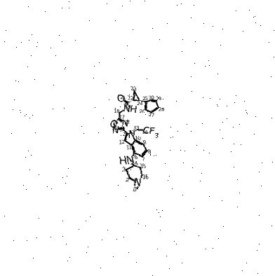 CN1CCC(Nc2cccc3c2cc(-c2noc(CNC(=O)[C@@H]4C[C@H]4c4ccccc4)n2)n3CC(F)(F)F)CC1